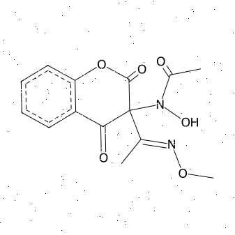 CO/N=C(\C)C1(N(O)C(C)=O)C(=O)Oc2ccccc2C1=O